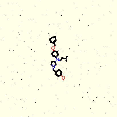 COc1ccc(CN2CCC(N(CCC(C)C)c3ccc(OCc4ccccc4)cc3)C2)cc1